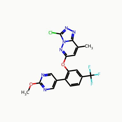 COc1ncc(-c2ccc(C(F)(F)F)cc2Oc2cc(C)c3nnc(Cl)n3n2)cn1